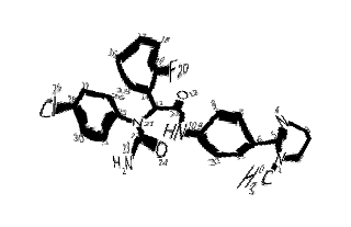 CN1CCN=C1c1ccc(NC(=O)C(c2ccccc2F)N(C(N)=O)c2ccc(Cl)cc2)cc1